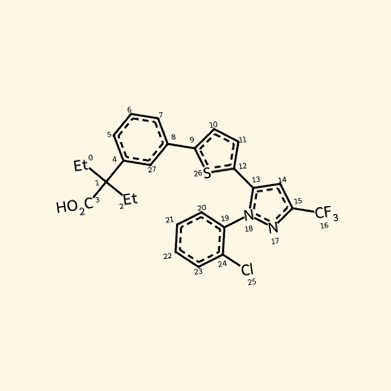 CCC(CC)(C(=O)O)c1cccc(-c2ccc(-c3cc(C(F)(F)F)nn3-c3ccccc3Cl)s2)c1